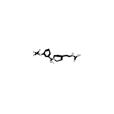 CC(c1cccc(OC(F)(F)F)c1)N1CCC(CCNC(=O)O)CC1